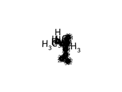 CC1CNC=C(c2ccc(N(c3ccc(-c4ccc5c(c4)c4ccccc4n5-c4ccccc4)cc3)C3(C)C=C4C(=CC3)c3ccccc3C4(C)C)cc2)C1